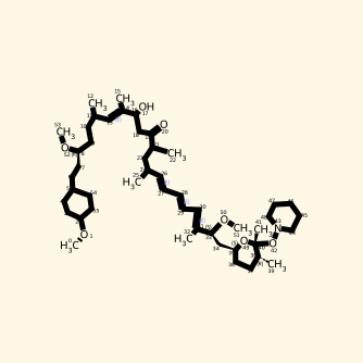 COC1CCC(CC[C@H](CCC(C)/C=C(\C)C(O)CC(=O)C(C)CC(C)/C=C/C=C/C=C(\C)[C@H](C[C@@H]2CC[C@@H](C)[C@@](C)(ON3CCCCC3)O2)OC)OC)CC1